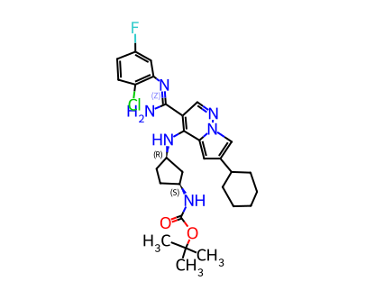 CC(C)(C)OC(=O)N[C@H]1CC[C@@H](Nc2c(/C(N)=N/c3cc(F)ccc3Cl)cnn3cc(C4CCCCC4)cc23)C1